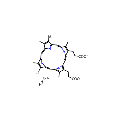 CCC1=C(C)c2cc3nc(cc4[n-]c(cc5[n-]c(cc1n2)c(C)c5CCC(=O)[O-])c(CCC(=O)[O-])c4C)C(CC)=C3C.[H+].[H+].[Zn+2]